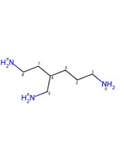 NCCCC(CN)CCN